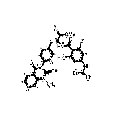 CC[C@@H](Nc1cc(C)c(C(=O)N[C@@H](Cc2ccc(-n3c(=O)c4ccncc4n(C)c3=O)nc2)C(=O)OC)c(F)c1)C(F)(F)F